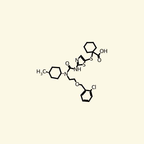 C[C@H]1CC[C@H](N(CCOCc2ccccc2Cl)C(=O)Nc2ncc(SC3(C(=O)O)CCCCC3)s2)CC1